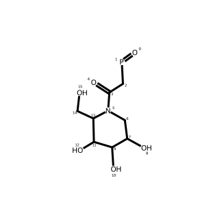 O=PCC(=O)N1CC(O)C(O)C(O)C1CO